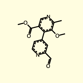 COC(=O)c1cnc(C)c(OC)c1-c1ccnc(C=O)c1